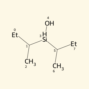 CCC(C)[SiH](O)C(C)CC